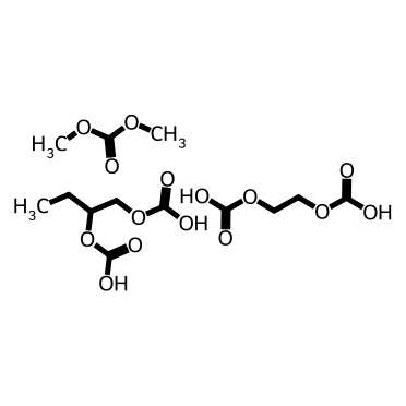 CCC(COC(=O)O)OC(=O)O.COC(=O)OC.O=C(O)OCCOC(=O)O